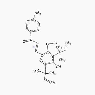 C=CC(C)(C)c1cc(/C=C/C(=O)c2ccc(N)cc2)c(OCC)c(C(C)(C)C=C)c1O